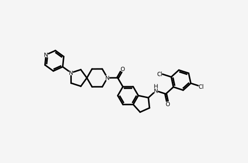 O=C(NC1CCc2ccc(C(=O)N3CCC4(CC3)CCN(c3ccncc3)C4)cc21)c1cc(Cl)ccc1Cl